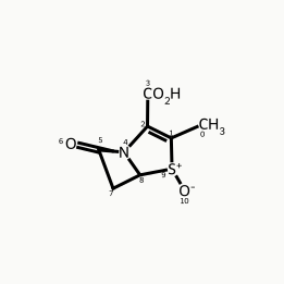 CC1=C(C(=O)O)N2C(=O)CC2[S+]1[O-]